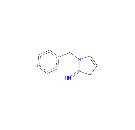 N=C1CC=CN1Cc1ccccc1